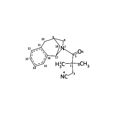 CC(C)(CC#N)C(=O)N1CC2Cc3ccccc3C1C2